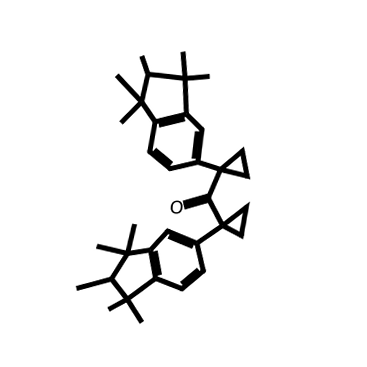 CC1C(C)(C)c2ccc(C3(C(=O)C4(c5ccc6c(c5)C(C)(C)C(C)C6(C)C)CC4)CC3)cc2C1(C)C